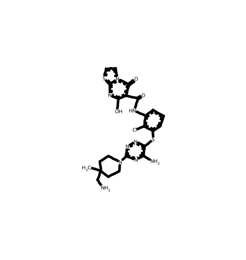 CC1(CN)CCN(c2nnc(Sc3cccc(NC(=O)c4c(O)nc5sccn5c4=O)c3Cl)c(N)n2)CC1